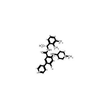 Cc1c([C@@H](C)NC(=O)c2cc(-c3ccncc3)c(F)cc2NC2CCN(C)CC2)cccc1C(F)(F)F